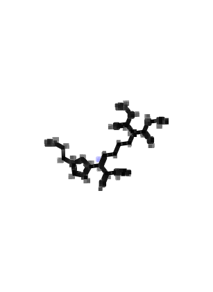 COC(=O)/C(=C\CCCN(C(=O)OC(C)(C)C)C(=O)OC(C)(C)C)c1cn(CCC(C)(C)C)cn1